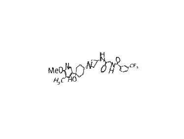 COc1ncc([C@]2(O)CC[C@H](N3CC(NC(=O)CNC(=O)c4cccc(C(F)(F)F)c4)C3)CC2)cc1C